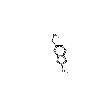 Cn1cc2ccc(CN)cc2n1